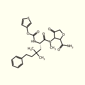 CN(C(=O)[C@H](CC(C)(C)CCc1ccccc1)NC(=O)Oc1ccsc1)C1C(=O)COC1C(N)=O